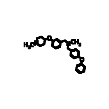 CN1CCC(Oc2cccc(CN(C)Cc3ccc(Oc4ccccc4)cc3)c2)CC1